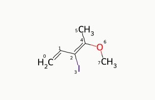 C=C/C(I)=C(\C)OC